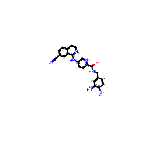 N#Cc1ccc2ccnc(Nc3ccc(C(=O)NCC4=CC(=N)C(=N)C=C4)nc3)c2c1